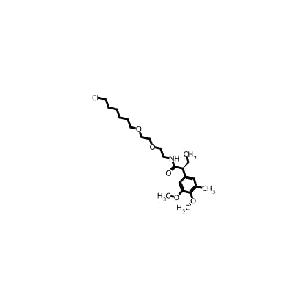 CC[C@H](C(=O)NCCOCCOCCCCCCCl)c1cc(C)c(OC)c(OC)c1